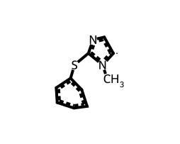 Cn1[c]cnc1Sc1ccccc1